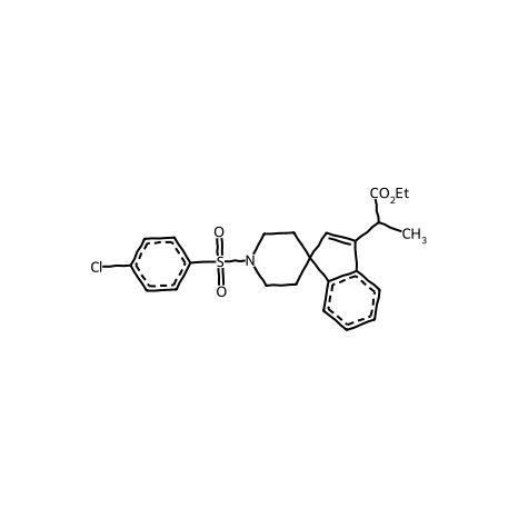 CCOC(=O)C(C)C1=CC2(CCN(S(=O)(=O)c3ccc(Cl)cc3)CC2)c2ccccc21